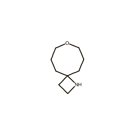 C1COCCCC2(C1)CCN2